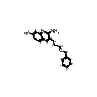 Nc1nc2cc(Br)ccc2cc1CCCOCc1ccccc1